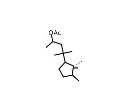 CC(=O)OC(C)CC(C)(C)C1CCC(C)[C@H]1C